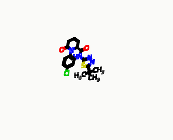 CC(C)(C)c1nnc(NC(=O)[C@@H]2CCCC(=O)N2c2ccc(Cl)cc2)s1